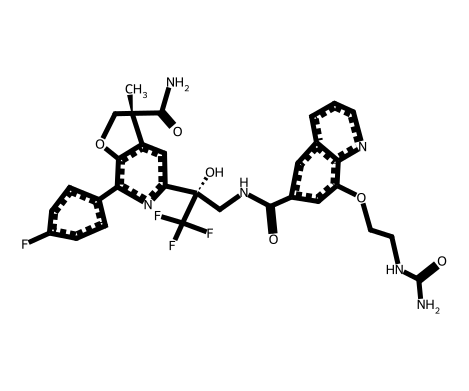 C[C@]1(C(N)=O)COc2c1cc([C@@](O)(CNC(=O)c1cc(OCCNC(N)=O)c3ncccc3c1)C(F)(F)F)nc2-c1ccc(F)cc1